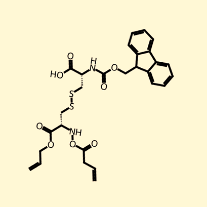 C=CCOC(=O)[C@H](CSSC[C@@H](NC(=O)OCC1c2ccccc2-c2ccccc21)C(=O)O)NOC(=O)CC=C